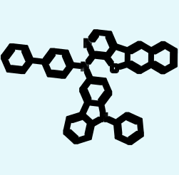 c1ccc(-c2ccc(N(c3ccc4c(c3)c3ccccc3n4-c3ccccc3)c3nccc4c3oc3cc5ccccc5cc34)cc2)cc1